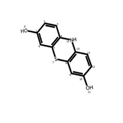 Oc1ccc2c(c1)Sc1cc(O)ccc1N2